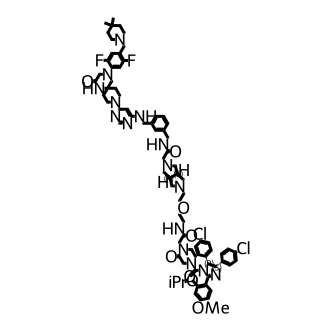 COc1ccc(C2=N[C@@H](c3ccc(Cl)cc3)[C@@H](c3ccc(Cl)cc3)N2C(=O)N2CCN(CC(=O)NCCOCCN3C[C@@H]4CN(CC(=O)NCc5cccc(CNc6cc(N7CCC8(CC7)CN(c7cc(F)c(CN9CCC(C)(C)CC9)cc7F)CC(=O)N8)ncn6)c5)C[C@@H]4C3)C(=O)C2)c(OC(C)C)c1